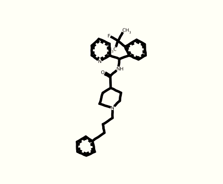 CC(C)(F)c1ccccc1C(NC(=O)C1CCN(CCCc2ccccc2)CC1)c1ccccn1